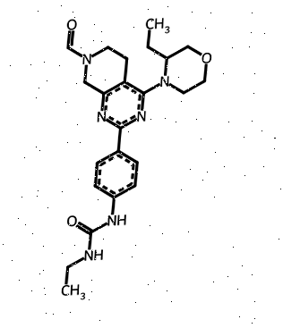 CCNC(=O)Nc1ccc(-c2nc3c(c(N4CCOCC4CC)n2)CCN(C=O)C3)cc1